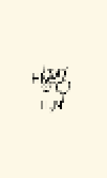 COc1ccc(CN)cc1S(=O)(=O)NC(C)(C)C